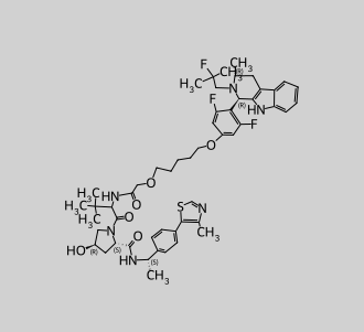 Cc1ncsc1-c1ccc([C@H](C)NC(=O)[C@@H]2C[C@@H](O)CN2C(=O)C(NC(=O)COCCCCCOc2cc(F)c([C@@H]3c4[nH]c5ccccc5c4C[C@@H](C)N3CC(C)(C)F)c(F)c2)C(C)(C)C)cc1